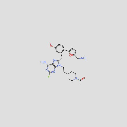 COc1ccc(-c2ccc(CN)o2)c(Cc2nc3c(N)nc(F)nc3n2CCC2CCN(C(C)=O)CC2)c1